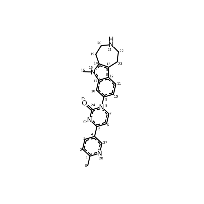 Cc1ccc(-c2ccn(-c3ccc4c5c(n(C)c4c3)CCNCC5)c(=O)n2)cn1